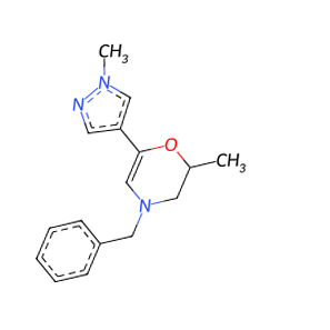 CC1CN(Cc2ccccc2)C=C(c2cnn(C)c2)O1